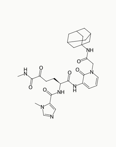 CNC(=O)C(=O)CC[C@H](NC(=O)c1cncn1C)C(=O)Nc1cccn(CC(=O)NC23CC4CC(CC(C4)C2)C3)c1=O